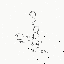 CCC(COC)NC(=O)[C@H](Cc1ccc(OCc2ccccc2)cc1)NC(=O)[C@H](CC(C)C)NC1CCOCC1